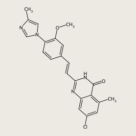 COc1cc(/C=C/c2nc3cc(Cl)cc(C)c3c(=O)[nH]2)ccc1-n1cnc(C)c1